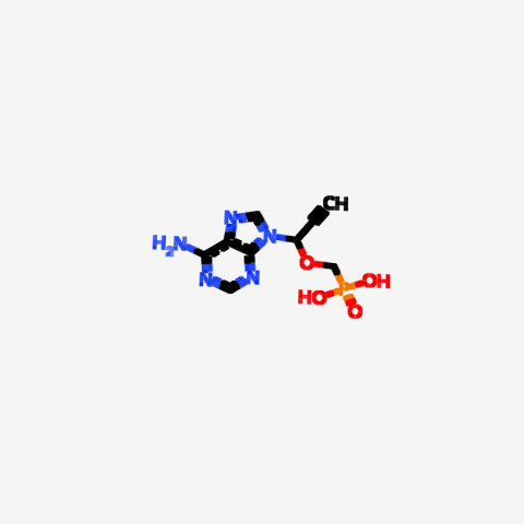 C#CC(OCP(=O)(O)O)n1cnc2c(N)ncnc21